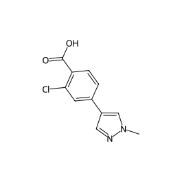 Cn1cc(-c2ccc(C(=O)O)c(Cl)c2)cn1